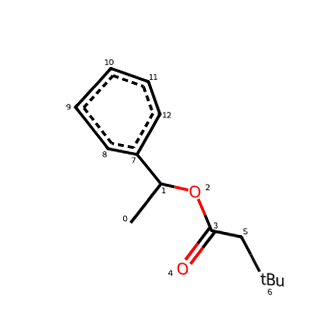 CC(OC(=O)CC(C)(C)C)c1ccccc1